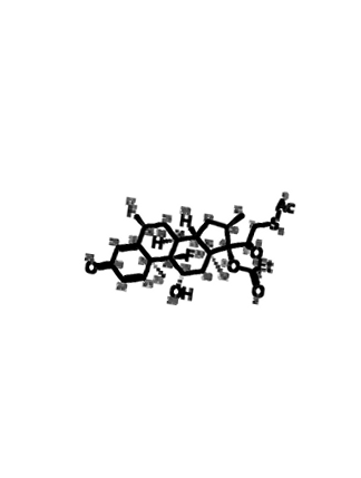 CCC(=O)O[C@]1(C(=O)CSC(C)=O)[C@H](C)C[C@H]2[C@@H]3C[C@H](F)C4=CC(=O)C=C[C@]4(C)[C@@]3(F)[C@@H](O)C[C@@]21C